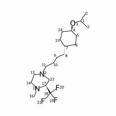 CC(C)O[C@H]1CC[C@H](CCCCN2CCN(C)[C@H](C(F)(F)F)C2)CC1